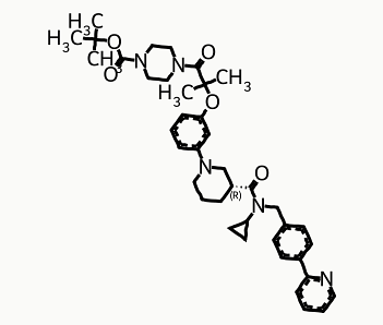 CC(C)(C)OC(=O)N1CCN(C(=O)C(C)(C)Oc2cccc(N3CCC[C@@H](C(=O)N(Cc4ccc(-c5ccccn5)cc4)C4CC4)C3)c2)CC1